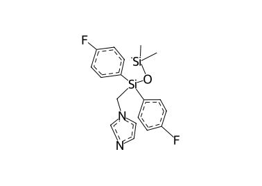 C[Si](C)(C)O[Si](Cn1ccnc1)(c1ccc(F)cc1)c1ccc(F)cc1